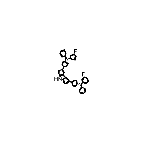 Fc1cccc(N(c2ccccc2)c2ccc(-c3ccc4[nH]c5ccc(-c6ccc(N(c7ccccc7)c7cccc(F)c7)cc6)cc5c4c3)cc2)c1